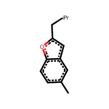 Cc1ccc2oc(CC(C)C)cc2c1